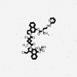 CCC1(C(=O)N2CCc3c2cc(OC(=O)N(C)CCSSc2ccccn2)c2ccccc32)CC(C)(C(=O)N2CC(CCl)c3c2cc(OP(=O)(O)O)c2ccccc32)C1